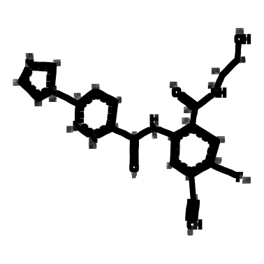 C#Cc1cc(NC(=O)c2ccc(-n3ccnc3)nn2)c(C(=O)NCCO)cc1F